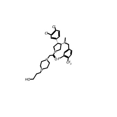 CN(Cc1ccc(C(F)(F)F)c(F)c1)[C@@H]1CN(C(=O)CN2CCN(CCCO)CC2)C[C@@H]1c1ccc(Cl)c(Cl)c1